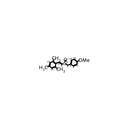 COc1ccc(C[S+]([O-])C=Cc2c(C)cc(C)cc2C)cc1